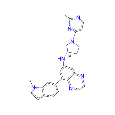 Cc1nccc(N2CC[C@H](Nc3cc(-c4ccc5ccn(C)c5c4)c4nccnc4c3)C2)n1